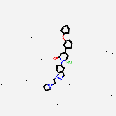 Cl.O=c1cc(-c2cccc(Oc3ccccc3)c2)ccn1-c1ccc2c(cnn2CCN2CCCC2)c1